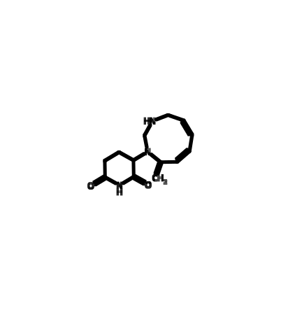 C=C1/C=C\C=C/CNCN1C1CCC(=O)NC1=O